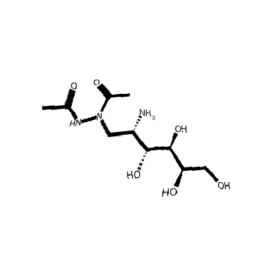 CC(=O)NN(C[C@H](N)[C@@H](O)[C@@H](O)[C@H](O)CO)C(C)=O